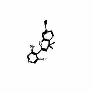 C#Cc1ccc2c(c1)OC(c1c(Br)cncc1Br)=CC2(C)C